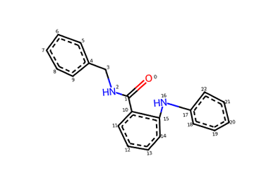 O=C(NCc1ccccc1)c1ccccc1Nc1ccccc1